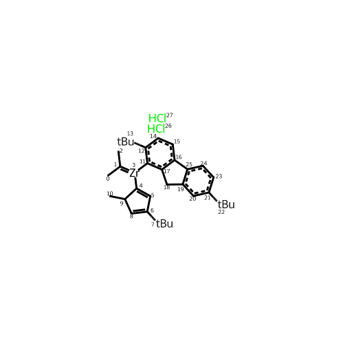 C[C](C)=[Zr]([C]1=CC(C(C)(C)C)=CC1C)[c]1c(C(C)(C)C)ccc2c1Cc1cc(C(C)(C)C)ccc1-2.Cl.Cl